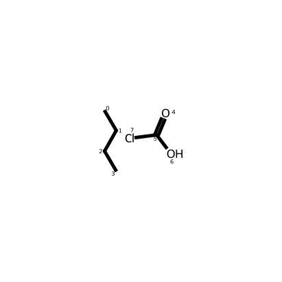 CCCC.O=C(O)Cl